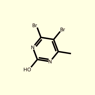 Cc1nc(O)nc(Br)c1Br